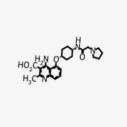 Cc1nc2cccc(O[C@H]3CC[C@H](NC(=O)CN4CCCC4)CC3)c2c(N)c1C(=O)O